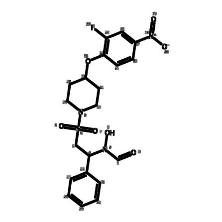 O=CN(O)C(CS(=O)(=O)N1CCC(Oc2ccc([N+](=O)[O-])cc2F)CC1)c1ccccc1